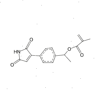 C=C(C)C(=O)OC(C)c1ccc(C2=CC(=O)NC2=O)cc1